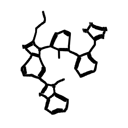 CCCc1nc2ccc(-c3nc4ccccc4n3C)cc2n1-c1cccc(-c2ccccc2-c2nnn[nH]2)c1C